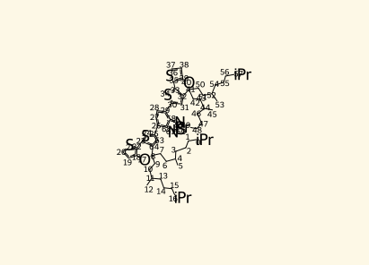 CC(C)CCCC(C)CCC1(CCC(C)CCCC(C)C)Oc2ccsc2-c2sc(-c3ccc(-c4cc5c(s4)-c4sccc4OC5(CCC(C)CCCC(C)C)CCC(C)CCCC(C)C)c4nsnc34)cc21